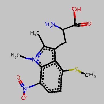 CSc1ccc([N+](=O)[O-])c2c1c(CC(N)C(=O)O)c(C)n2C